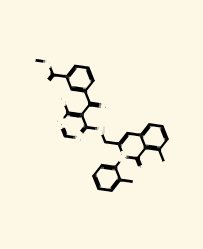 CNC(=O)c1cccc(C(=N)c2c(N)ncnc2NCc2cc3cccc(C)c3c(=O)n2-c2ccccc2C)c1